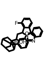 OC(CC1c2c(F)cccc2-c2cncn21)C12CC3CC(C1)C(O)(c1cccc(Oc4ccccc4)c1)C(C3)C2